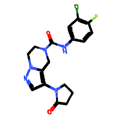 O=C(Nc1ccc(F)c(Cl)c1)N1CCn2ncc(N3CCCC3=O)c2C1